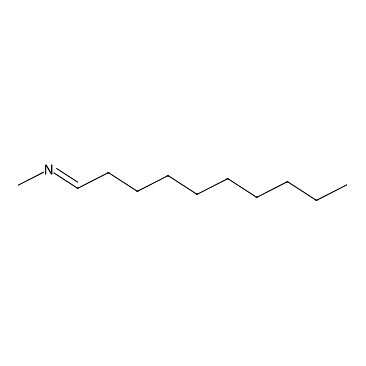 CCCCCCCCCC=NC